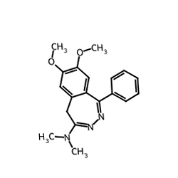 COc1cc2c(cc1OC)C(c1ccccc1)=NN=C(N(C)C)C2